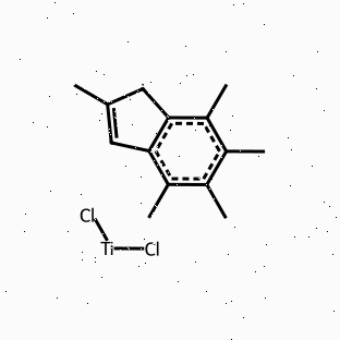 CC1=Cc2c(C)c(C)c(C)c(C)c2[CH]1.[Cl][Ti][Cl]